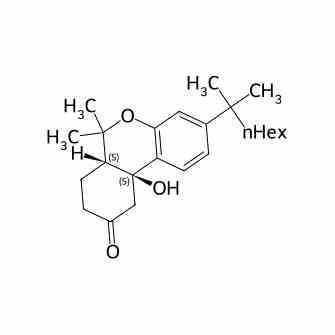 CCCCCCC(C)(C)c1ccc2c(c1)OC(C)(C)[C@H]1CCC(=O)C[C@@]21O